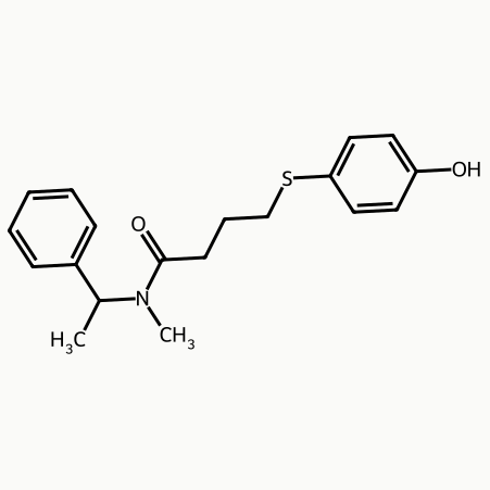 CC(c1ccccc1)N(C)C(=O)CCCSc1ccc(O)cc1